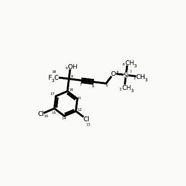 C[Si](C)(C)OCC#CC(O)(c1cc(Cl)cc(Cl)c1)C(F)(F)F